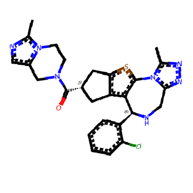 Cc1ncc2n1CCN(C(=O)[C@@H]1Cc3sc4c(c3C1)[C@H](c1ccccc1Cl)NCc1nnc(C)n1-4)C2